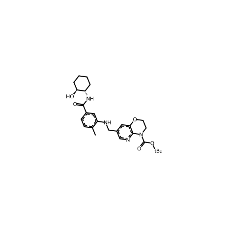 Cc1ccc(C(=O)N[C@H]2CCCC[C@@H]2O)cc1NCc1cnc2c(c1)OCCN2C(=O)OC(C)(C)C